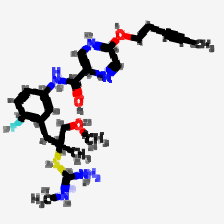 CC#CCCOc1cnc(C(=O)Nc2ccc(F)c(C[C@](C)(COC)S/C(N)=N\C)c2)cn1